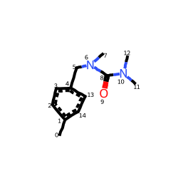 Cc1ccc(CN(C)C(=O)N(C)C)cc1